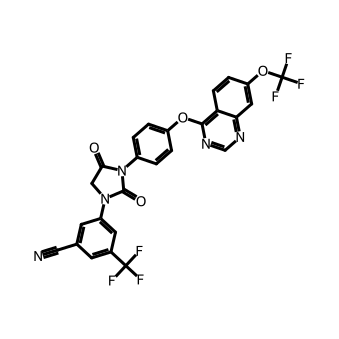 N#Cc1cc(N2CC(=O)N(c3ccc(Oc4ncnc5cc(OC(F)(F)F)ccc45)cc3)C2=O)cc(C(F)(F)F)c1